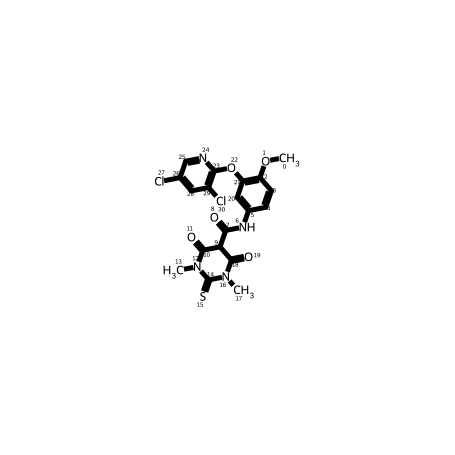 COc1ccc(NC(=O)C2C(=O)N(C)C(=S)N(C)C2=O)cc1Oc1ncc(Cl)cc1Cl